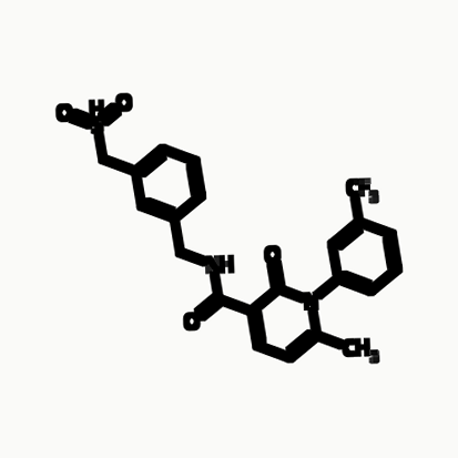 Cc1ccc(C(=O)NCc2cccc(C[SH](=O)=O)c2)c(=O)n1-c1cccc(C(F)(F)F)c1